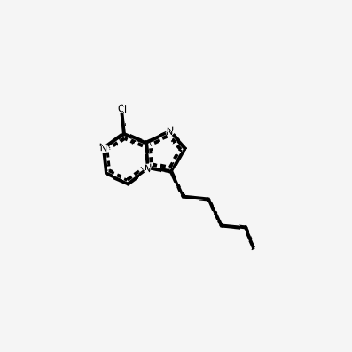 CCCCCc1cnc2c(Cl)nccn12